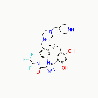 CCc1cc(-c2nnc(C(=O)NC(F)C(F)F)n2-c2ccc(CN3CCN(CC4CCNCC4)CC3)cc2)c(O)cc1O